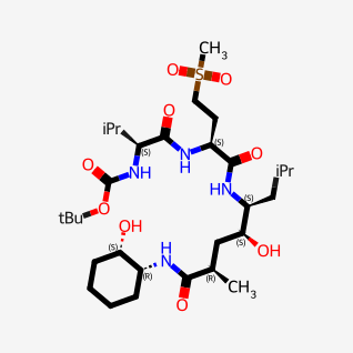 CC(C)C[C@H](NC(=O)[C@H](CCS(C)(=O)=O)NC(=O)[C@@H](NC(=O)OC(C)(C)C)C(C)C)[C@@H](O)C[C@@H](C)C(=O)N[C@@H]1CCCC[C@@H]1O